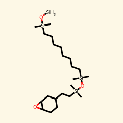 C[Si](C)(CCCCCCCC[Si](C)(C)O[Si](C)(C)CCC1CCC2OC2C1)O[SiH3]